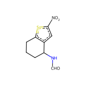 O=CNC1CCCc2sc([N+](=O)[O-])cc21